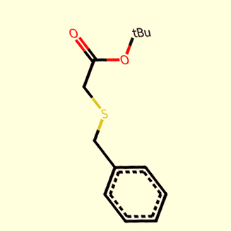 CC(C)(C)OC(=O)CSCc1ccccc1